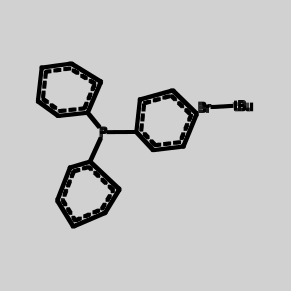 CC(C)(C)Br.c1ccc(P(c2ccccc2)c2ccccc2)cc1